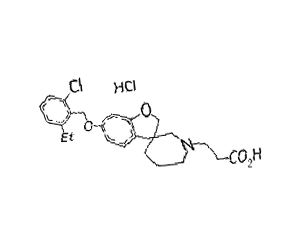 CCc1cccc(Cl)c1COc1ccc2c(c1)OCC21CCCN(CCC(=O)O)C1.Cl